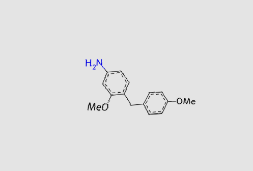 COc1ccc(Cc2ccc(N)cc2OC)cc1